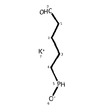 O=CCCCCP[O-].[K+]